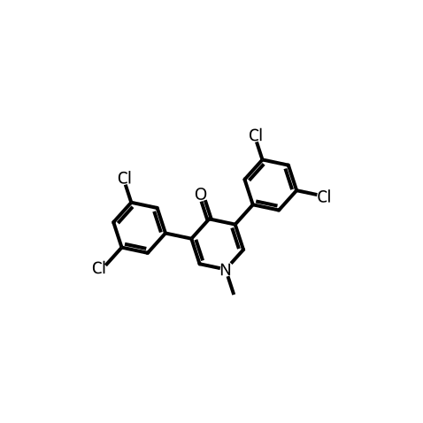 Cn1cc(-c2cc(Cl)cc(Cl)c2)c(=O)c(-c2cc(Cl)cc(Cl)c2)c1